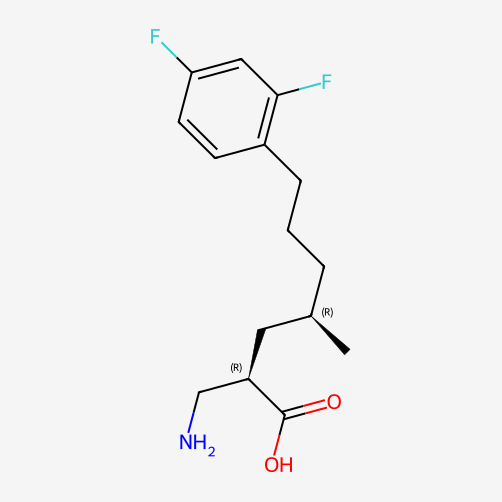 C[C@H](CCCc1ccc(F)cc1F)C[C@H](CN)C(=O)O